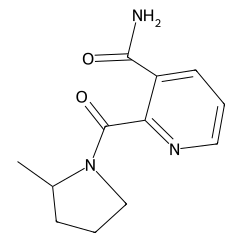 CC1CCCN1C(=O)c1ncccc1C(N)=O